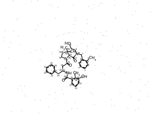 Cc1ccccc1CN(CCO)C(=O)[C@H]1N(C(=O)C[C@H](Cc2ccccc2)NC(=O)c2cccc(O)c2C)CSC1(C)C